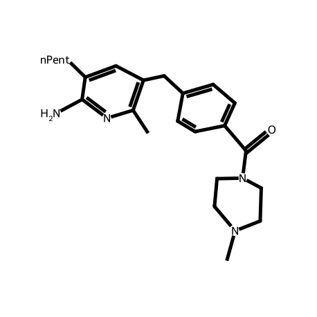 CCCCCc1cc(Cc2ccc(C(=O)N3CCN(C)CC3)cc2)c(C)nc1N